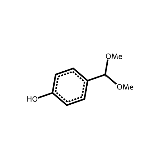 CO[C](OC)c1ccc(O)cc1